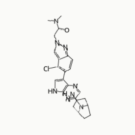 CN(C)C(=O)Cn1cc2c(Cl)c(-c3c[nH]c4nc(N5C6CCC5CC(N)C6)cnc34)ccc2n1